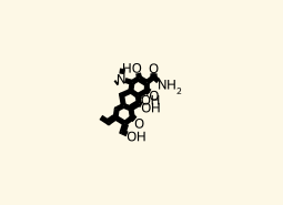 C/C=C1\CC2CC3C(N(C)C)C(O)=C(C(N)=O)C(=O)[C@@]3(O)C(O)=C2C(=O)\C1=C/O